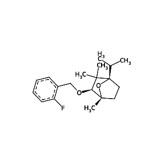 CC(C)[C@@]12CC[C@@](C)(O1)[C@@H](OCc1ccccc1F)C2(C)C